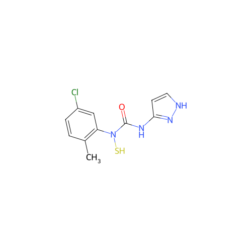 Cc1ccc(Cl)cc1N(S)C(=O)Nc1cc[nH]n1